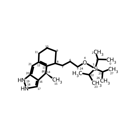 CC(C)[Si](OCCCC1CCCC2=C1[C@@H](C)C1=CNNC1=C2)(C(C)C)C(C)C